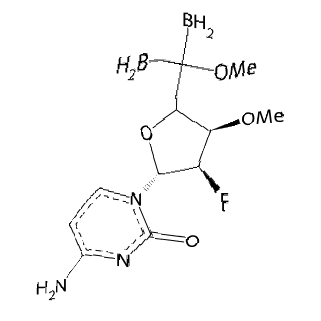 BC(B)(OC)C1O[C@@H](n2ccc(N)nc2=O)[C@H](F)[C@@H]1OC